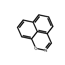 C1=NOc2cccc3cccc1c23